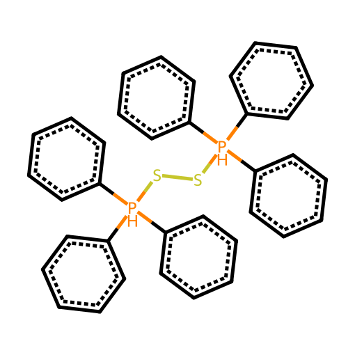 c1ccc([PH](SS[PH](c2ccccc2)(c2ccccc2)c2ccccc2)(c2ccccc2)c2ccccc2)cc1